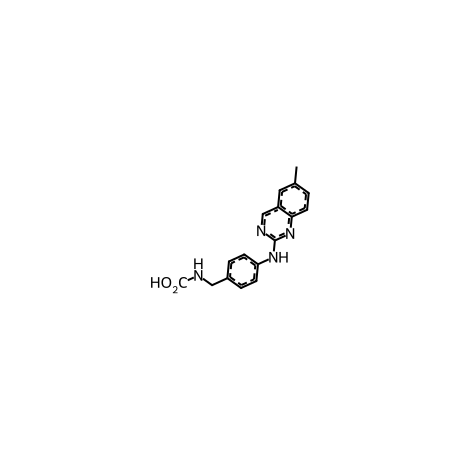 Cc1ccc2nc(Nc3ccc(CNC(=O)O)cc3)ncc2c1